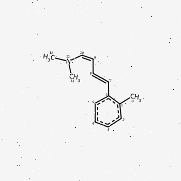 Cc1ccccc1/C=C/C=C\N(C)C